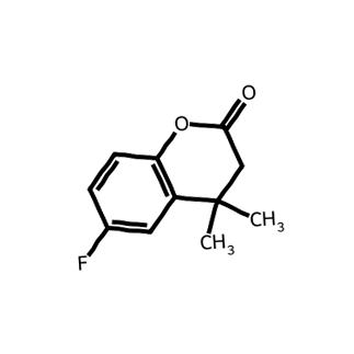 CC1(C)CC(=O)Oc2ccc(F)cc21